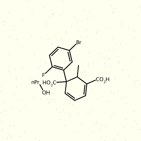 CC1C(C(=O)O)=CC=CC1(C(=O)O)c1cc(Br)ccc1F.CCCO